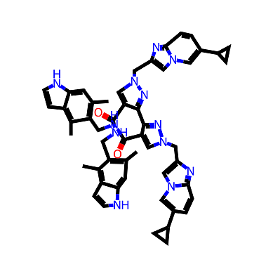 Cc1cc2[nH]ccc2c(C)c1CNC(=O)c1cn(Cc2cn3cc(C4CC4)ccc3n2)nc1-c1nn(Cc2cn3cc(C4CC4)ccc3n2)cc1C(=O)NCc1c(C)cc2[nH]ccc2c1C